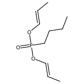 CC=COP(=O)(CCCC)OC=CC